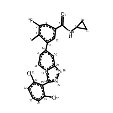 Cc1c(F)cc(C(=O)NC2CC2)cc1-c1ccn2c(-c3c(Cl)cccc3Cl)nnc2c1